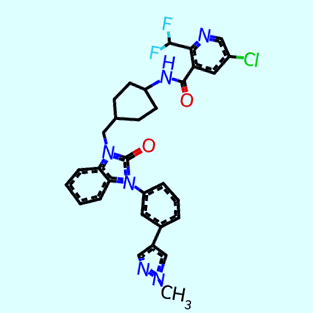 Cn1cc(-c2cccc(-n3c(=O)n(CC4CCC(NC(=O)c5cc(Cl)cnc5C(F)F)CC4)c4ccccc43)c2)cn1